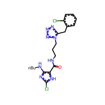 CCCCNc1nc(Cl)[nH]c1C(=O)NCCCn1nnnc1Cc1ccccc1Cl